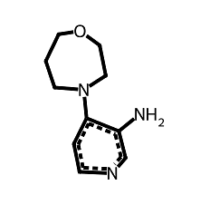 Nc1cnccc1N1CCCOCC1